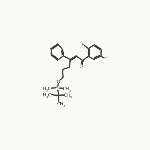 CC(C)(C)[Si](C)(C)OCCC/C(=C\C(=O)c1cc(F)ccc1F)c1ccccc1